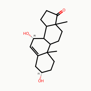 CC12CCC3C(C1CCC2=O)[C@@H](O)C=C1C[C@@H](O)CCC13C